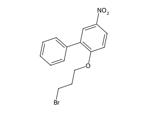 O=[N+]([O-])c1ccc(OCCCBr)c(-c2ccccc2)c1